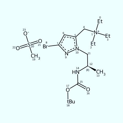 CC[N+](CC)(CC)Cc1cc(Br)nn1C[C@@H](C)NC(=O)OC(C)(C)C.CS(=O)(=O)[O-]